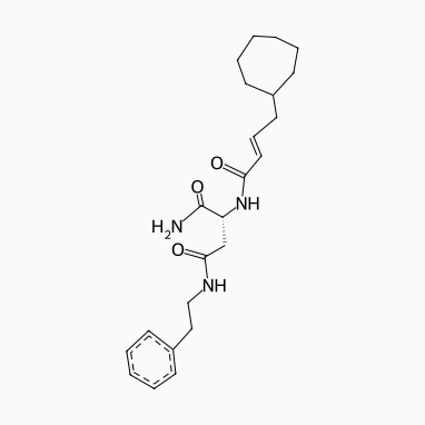 NC(=O)[C@@H](CC(=O)NCCc1ccccc1)NC(=O)/C=C/CC1CCCCCC1